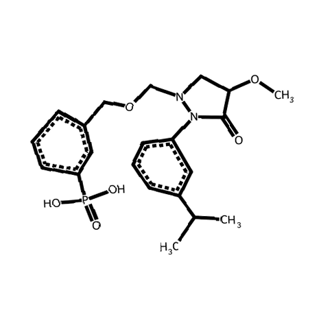 COC1CN(COCc2cccc(P(=O)(O)O)c2)N(c2cccc(C(C)C)c2)C1=O